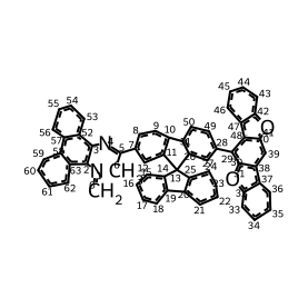 C=Nc1c(/N=C(\C)c2ccc3c(c2)C2(c4ccccc4-c4ccccc42)c2cc(-c4c5oc6ccccc6c5cc5oc6ccccc6c45)ccc2-3)c2ccccc2c2ccccc12